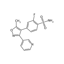 Cc1onc(-c2cccnc2)c1-c1ccc(S(N)(=O)=O)c(F)c1